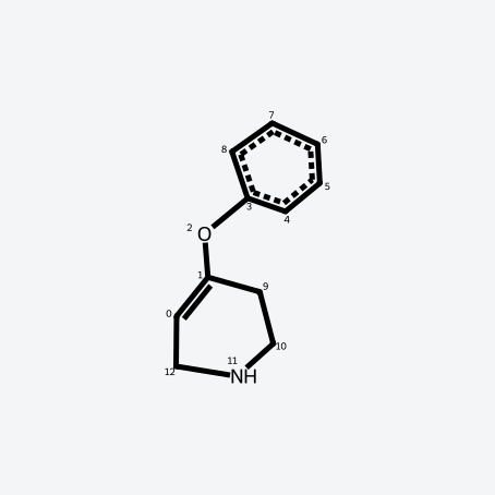 C1=C(Oc2ccccc2)CCNC1